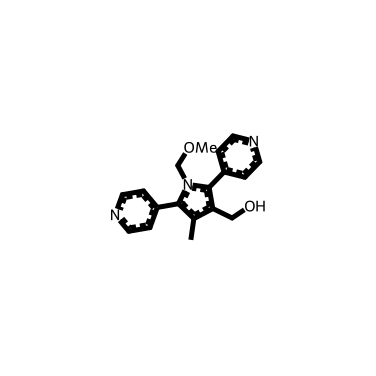 COCn1c(-c2ccncc2)c(C)c(CO)c1-c1ccncc1